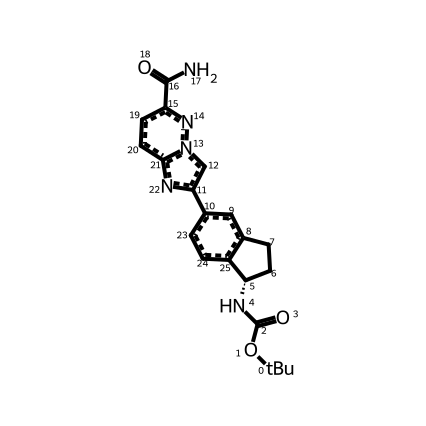 CC(C)(C)OC(=O)N[C@H]1CCc2cc(-c3cn4nc(C(N)=O)ccc4n3)ccc21